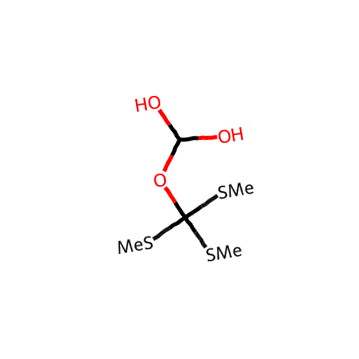 CSC(OC(O)O)(SC)SC